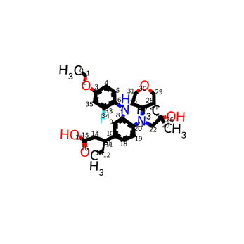 CCOc1ccc(Nc2cc([C@@H](CC)CC(=O)O)ccc2N(CC(C)(C)O)C2CCOCC2)c(F)c1